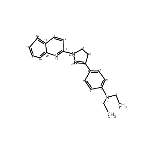 CCN(CC)c1ccc(C2=NN(c3ccc4ccccc4n3)CC2)cc1